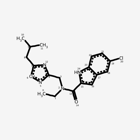 CCN(Cc1noc(CC(C)C)n1)C(=O)c1cc2cc(Cl)ccc2[nH]1